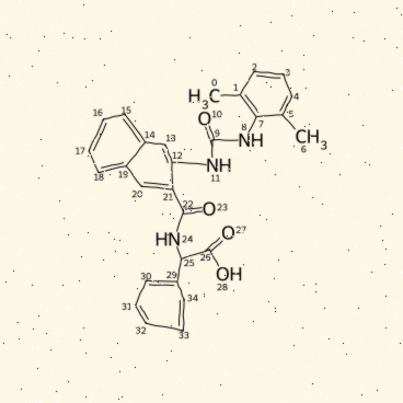 Cc1cccc(C)c1NC(=O)Nc1cc2ccccc2cc1C(=O)NC(C(=O)O)c1ccccc1